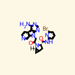 Nc1ncnc2c1c1ccncc1n2CC(=O)N1[C@@H]2CC2C[C@H]1C(=O)Nc1cccc(Br)n1